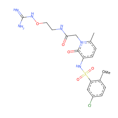 COc1ccc(Cl)cc1S(=O)(=O)Nc1ccc(C)n(CC(=O)NCCONC(=N)N)c1=O